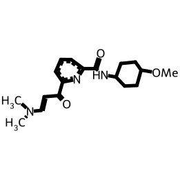 COC1CCC(NC(=O)c2cccc(C(=O)/C=C/N(C)C)n2)CC1